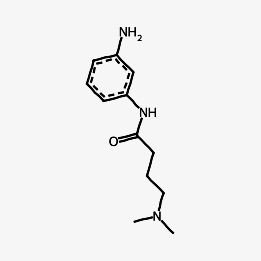 CN(C)CCCC(=O)Nc1cccc(N)c1